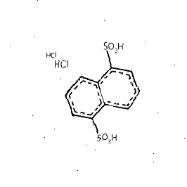 Cl.Cl.O=S(=O)(O)c1cccc2c(S(=O)(=O)O)cccc12